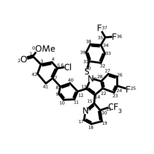 COC(=O)C1=CC(Cl)=C(c2cccc(-c3c(-c4ncccc4C(F)(F)F)c4cc(F)ccc4n3Sc3ccc(C(F)F)cc3)c2)CC1